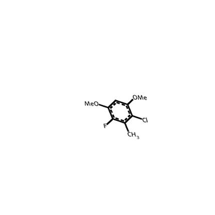 COc1cc(OC)c(Cl)c(C)c1F